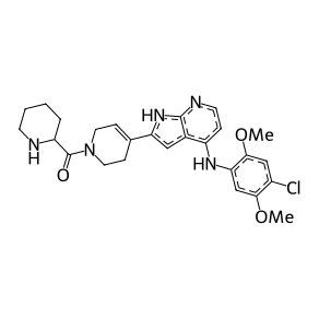 COc1cc(Nc2ccnc3[nH]c(C4=CCN(C(=O)C5CCCCN5)CC4)cc23)c(OC)cc1Cl